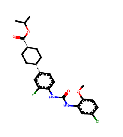 COc1ccc(Cl)cc1NC(=O)Nc1ccc([C@H]2CC[C@@H](C(=O)OC(C)C)CC2)cc1F